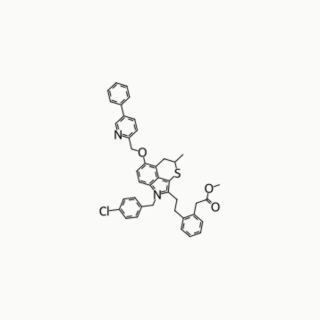 COC(=O)Cc1ccccc1CCc1c2c3c(c(OCc4ccc(-c5ccccc5)cn4)ccc3n1Cc1ccc(Cl)cc1)CC(C)S2